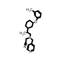 Cc1cccc(O[C@@H]2CCCC([C@H](C)CN(CC#N)Cc3ccncc3)C2)c1